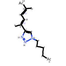 CC(=O)CCCCn1cc(/C(C)=C/C=C(\C)C(C)=O)nn1